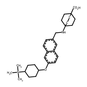 C[Si](C)(C)C1CCC(Oc2ccc3cc(CNC45CCC(C(=O)O)(CC4)CC5)ccc3c2)CC1